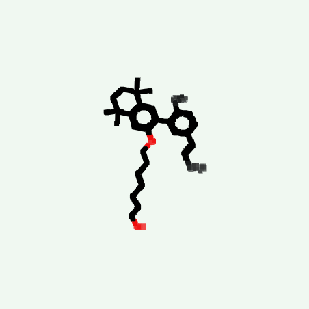 COc1ccc(C=CC(=O)O)cc1-c1cc2c(cc1OCCCCCCCO)C(C)(C)CCC2(C)C